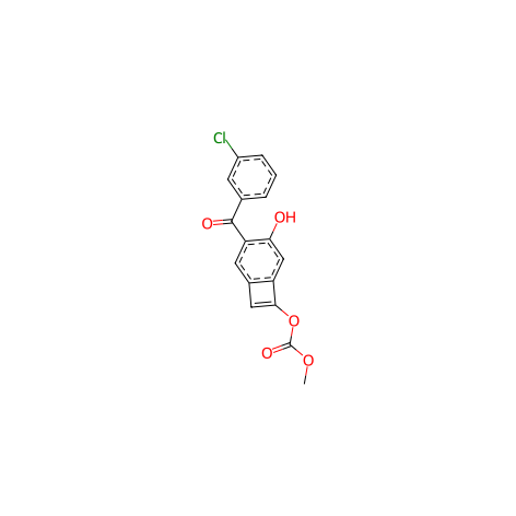 COC(=O)OC1=Cc2cc(C(=O)c3cccc(Cl)c3)c(O)cc21